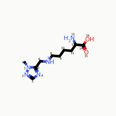 Cn1ncnc1CNCCCCC(N)C(=O)O